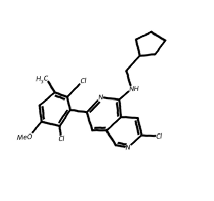 COc1cc(C)c(Cl)c(-c2cc3cnc(Cl)cc3c(NCC3CCCC3)n2)c1Cl